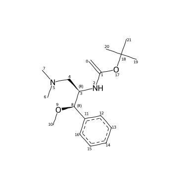 C=C(N[C@H](CN(C)C)[C@H](OC)c1ccccc1)OC(C)(C)C